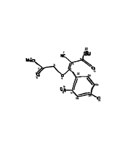 COC(=O)COC(=C(C#N)C(=O)C(C)(C)C)c1ccc(Cl)cc1[N+](=O)[O-]